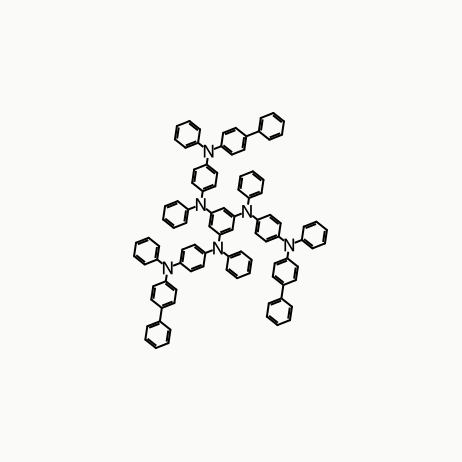 c1ccc(-c2ccc(N(c3ccccc3)c3ccc(N(c4ccccc4)c4cc(N(c5ccccc5)c5ccc(N(c6ccccc6)c6ccc(-c7ccccc7)cc6)cc5)cc(N(c5ccccc5)c5ccc(N(c6ccccc6)c6ccc(-c7ccccc7)cc6)cc5)c4)cc3)cc2)cc1